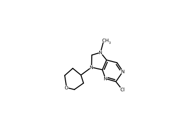 CN1CN(C2CCOCC2)c2nc(Cl)ncc21